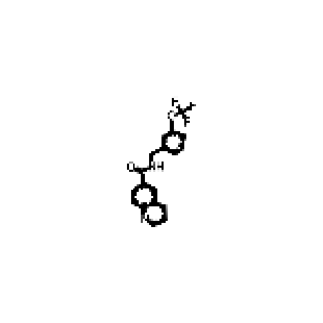 O=C(NCc1cccc(OC(F)(F)F)c1)c1ccc2ncccc2c1